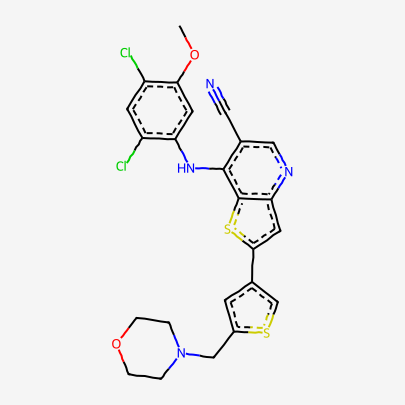 COc1cc(Nc2c(C#N)cnc3cc(-c4csc(CN5CCOCC5)c4)sc23)c(Cl)cc1Cl